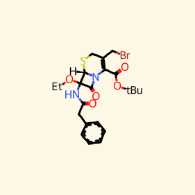 CCOC1(NC(=O)Cc2ccccc2)C(=O)N2C(C(=O)OC(C)(C)C)=C(CBr)CS[C@H]21